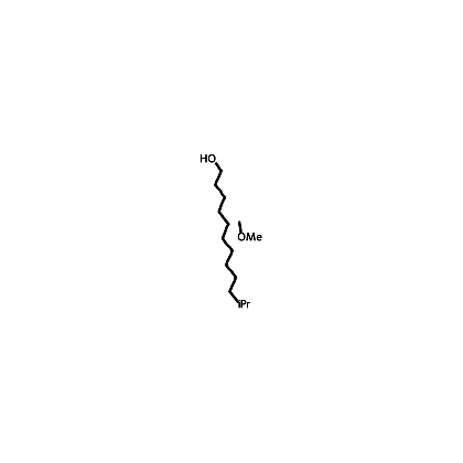 CC(C)CCCCCCCCCCO.COC